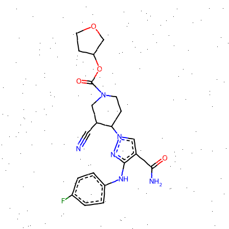 N#CC1CN(C(=O)OC2CCOC2)CCC1n1cc(C(N)=O)c(Nc2ccc(F)cc2)n1